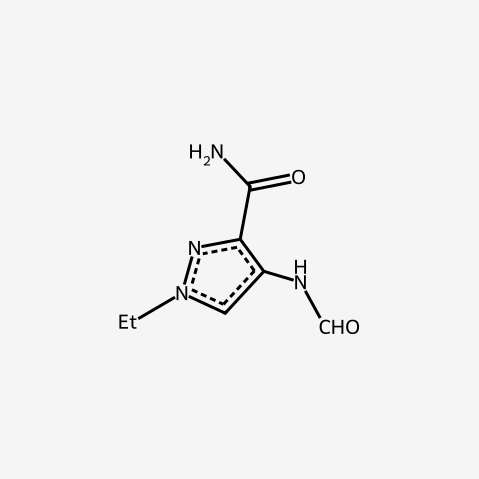 CCn1cc(NC=O)c(C(N)=O)n1